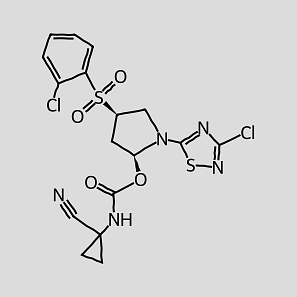 N#CC1(NC(=O)O[C@H]2C[C@@H](S(=O)(=O)c3ccccc3Cl)CN2c2nc(Cl)ns2)CC1